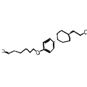 CCC[C@H]1CC[C@H](c2ccc(OCCCCC[C]=O)cc2)CC1